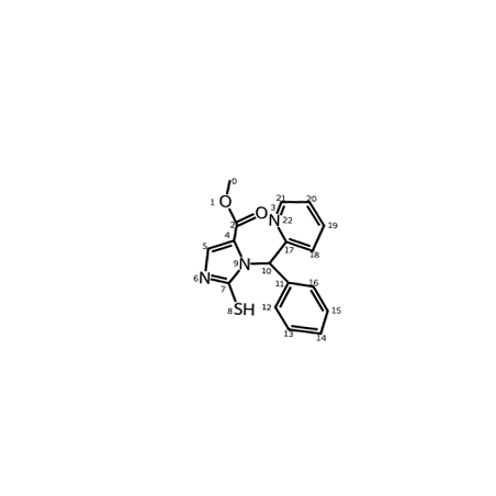 COC(=O)c1cnc(S)n1C(c1ccccc1)c1ccccn1